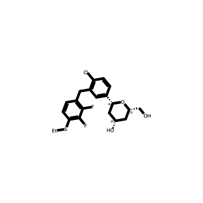 CCSc1ccc(Cc2cc([C@H]3C[C@@H](O)C[C@@H](CO)O3)ccc2Cl)c(F)c1F